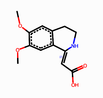 COc1cc2c(cc1OC)/C(=C/C(=O)O)NCC2